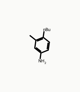 CCCCc1ccc(N)cc1C